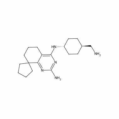 NC[C@H]1CC[C@H](Nc2nc(N)nc3c2CCCC32CCCC2)CC1